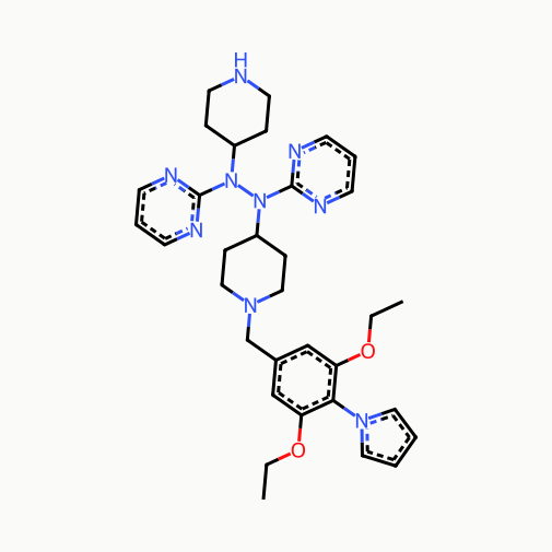 CCOc1cc(CN2CCC(N(c3ncccn3)N(c3ncccn3)C3CCNCC3)CC2)cc(OCC)c1-n1cccc1